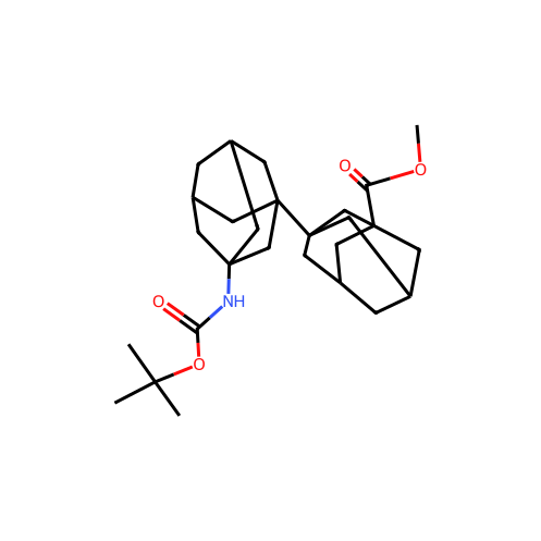 COC(=O)C12CC3CC(C1)CC(C14CC5CC(CC(NC(=O)OC(C)(C)C)(C5)C1)C4)(C3)C2